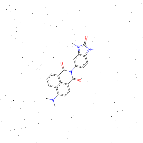 CN(C)c1ccc2c3c(cccc13)C(=O)N(c1ccc3c(c1)n(C)c(=O)n3C)C2=O